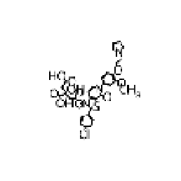 COc1cc(-n2ccc3c(c2=O)SC(c2ccc(Cl)cc2)N3OC(=O)CC(O)(CC(=O)O)C(=O)O)ccc1OCCN1CCCC1